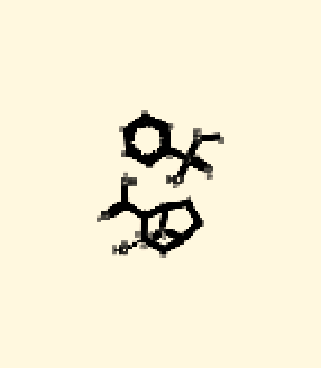 CN1C2CCC1C(C(=O)O)[C@@H](O)C2.COP(=O)(O)c1ccccc1